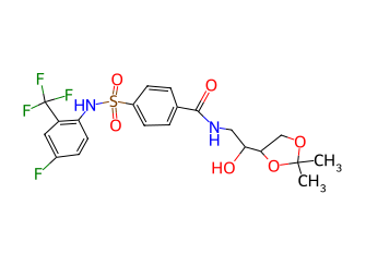 CC1(C)OCC(C(O)CNC(=O)c2ccc(S(=O)(=O)Nc3ccc(F)cc3C(F)(F)F)cc2)O1